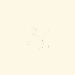 O=C1COc2ccc(cc2)C(C(=O)O)NC(=O)[C@H](Cc2ccccc2)NC(=O)[C@H](Cc2ccc(-c3ccc(F)cc3)cc2)NC(=O)[C@H](CC2CC=CS2)N1